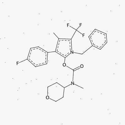 Cc1c(-c2ccc(F)cc2)c(OC(=O)N(C)C2CCOCC2)n(Cc2ccccc2)c1C(F)(F)F